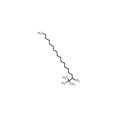 CCCCCCCCCCCCCCCCC(C)C(C)(C)C